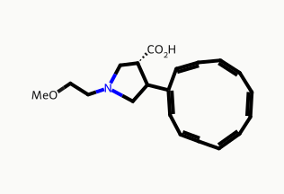 COCCN1CC(C2=C/C=C\C=C/C=C\C=C/C=C\2)[C@@H](C(=O)O)C1